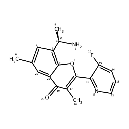 Cc1cc([C@@H](C)N)c2oc(-c3ncccc3F)c(C)c(=O)c2c1